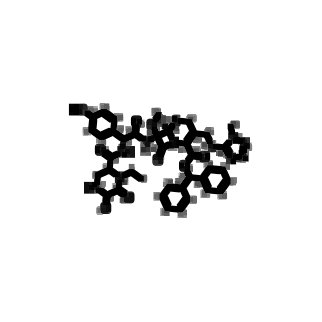 CCN1C(=O)C(=O)NCC1C(=O)N[C@H](C(=O)N[C@]1(OC)C(=O)N2C(C(=O)OC(c3ccccc3)c3ccccc3)=C(CSc3nnnn3C)CS[C@H]21)c1ccc(O)cc1